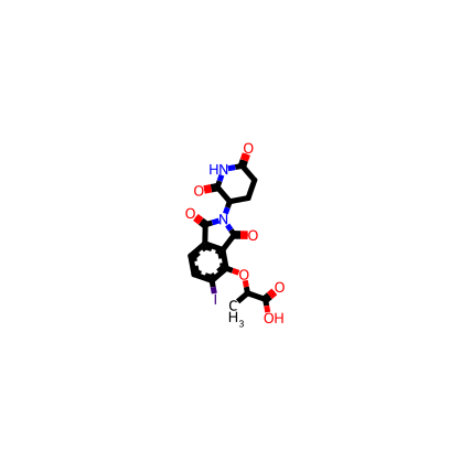 CC(Oc1c(I)ccc2c1C(=O)N(C1CCC(=O)NC1=O)C2=O)C(=O)O